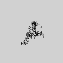 CCC(c1cccc(-c2nc(C(C)(C)C)sc2-c2ccnc(NCC3CCNCC3)n2)c1F)S(N)(=O)=O